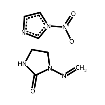 C=NN1CCNC1=O.O=[N+]([O-])n1ccnc1